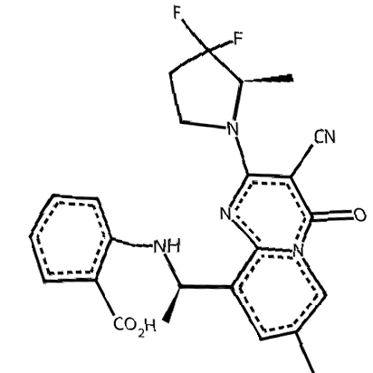 Cc1cc([C@@H](C)Nc2ccccc2C(=O)O)c2nc(N3CCC(F)(F)[C@H]3C)c(C#N)c(=O)n2c1